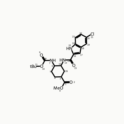 COC(=O)C1CCC(NC(=O)OC(C)(C)C)C(NC(=O)c2cc3cc(Cl)ccc3[nH]2)C1